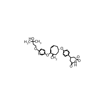 C=C1CC[C@@H](Oc2ccc(C3CC(=O)NS(=O)(=O)C3)cc2)C/C=C\C=C/1Oc1ccc(OCCC(C)(C)O)nc1